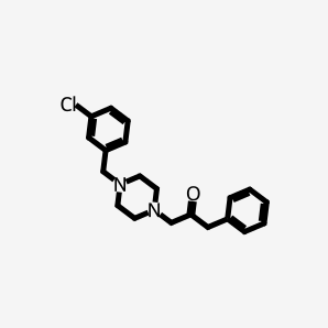 O=C(Cc1ccccc1)CN1CCN(Cc2cccc(Cl)c2)CC1